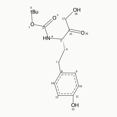 CC(C)(C)OC(=O)N[C@@H](CCc1ccc(O)cc1)C(=O)CO